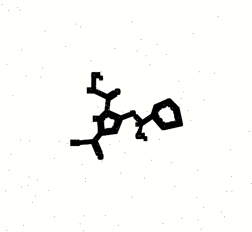 CNC(=O)c1[nH]c(C(=O)O)cc1O[C@@H](C)c1ccccc1